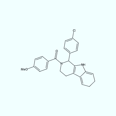 COc1ccc(C(=O)N2CCc3c([nH]c4c3=CCCC=4)C2c2ccc(Cl)cc2)cc1